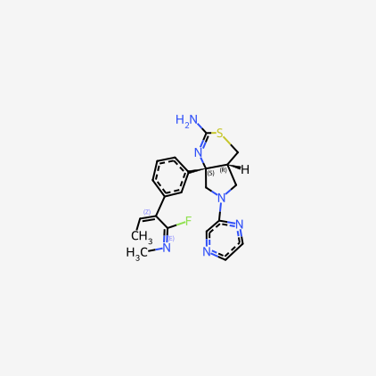 C/C=C(\C(F)=N/C)c1cccc([C@]23CN(c4cnccn4)C[C@H]2CSC(N)=N3)c1